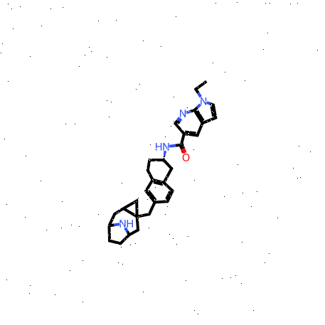 CCn1ccc2cc(C(=O)N[C@@H]3CCc4cc(CC56CC7CCC(CC5C6)N7)ccc4C3)cnc21